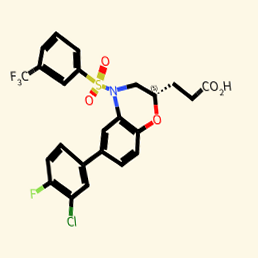 O=C(O)CC[C@H]1CN(S(=O)(=O)c2cccc(C(F)(F)F)c2)c2cc(-c3ccc(F)c(Cl)c3)ccc2O1